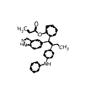 C=CC(=O)Oc1ccccc1/C(=C(\CC)c1ccc(Nc2ccccc2)cc1)c1ccc2[nH]ncc2c1